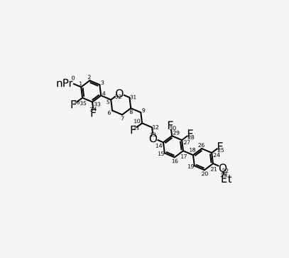 CCCc1ccc(C2CCC(CC(F)COc3ccc(-c4ccc(OCC)c(F)c4)c(F)c3F)CO2)c(F)c1F